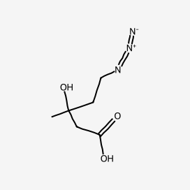 CC(O)(CCN=[N+]=[N-])CC(=O)O